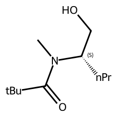 CCC[C@@H](CO)N(C)C(=O)C(C)(C)C